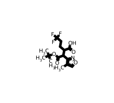 Cc1conc1C(C(=O)OC(C)(C)C)C(CCC(F)(F)F)C(=O)O